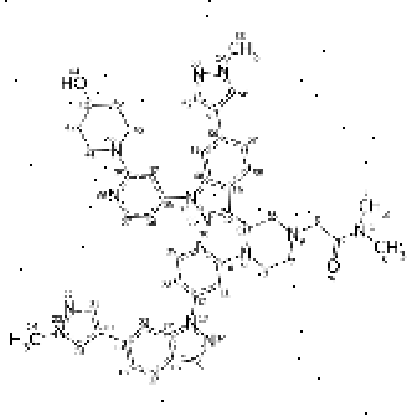 CN(C)C(=O)CN1CCN(c2cc(-n3ncc4ccc(-c5cnn(C)c5)cc43)ccn2)C(c2nn(-c3ccnc(N4CCC(O)CC4)c3)c3cc(-c4cnn(C)c4)ccc23)C1